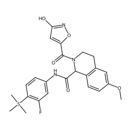 COc1ccc2c(c1)CCN(C(=O)c1cc(O)no1)C2C(=O)Nc1ccc(S(C)(C)C)c(F)c1